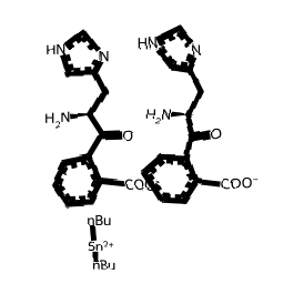 CCC[CH2][Sn+2][CH2]CCC.N[C@@H](Cc1c[nH]cn1)C(=O)c1ccccc1C(=O)[O-].N[C@@H](Cc1c[nH]cn1)C(=O)c1ccccc1C(=O)[O-]